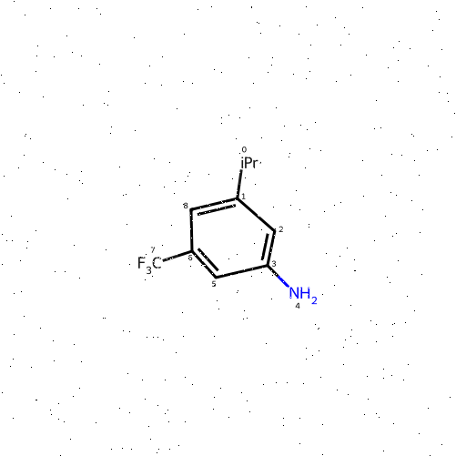 C[C](C)c1cc(N)cc(C(F)(F)F)c1